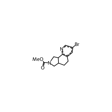 COC(=O)N1CC2CCc3cc(Br)cnc3C2C1